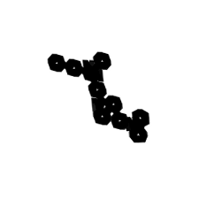 c1ccc(-c2ccc(-c3cc(-c4ccc(-c5nc6ccccc6c6c(-c7cccc(-n8c9ccccc9c9ccccc98)c7)cccc56)cc4)nc(-c4ccccc4)n3)cc2)cc1